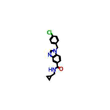 O=C(NCC1CC1)c1ccc2c(c1)ncn2Cc1ccc(Cl)cc1